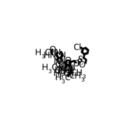 CC(=O)Nc1ncnc2c1ncn2C1OC(COP2OCCC(c3cccc(Cl)c3)S2)C(O[Si](C)(C)C(C)(C)C)C1O[Si](C)(C)C(C)(C)C